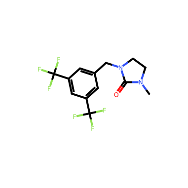 CN1CCN(Cc2cc(C(F)(F)F)cc(C(F)(F)F)c2)C1=O